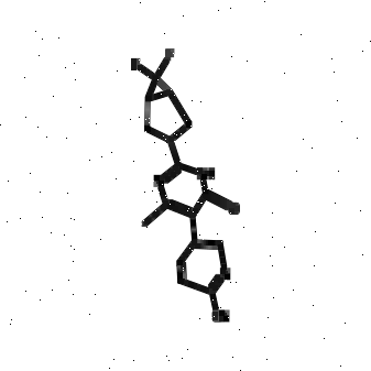 Cc1nc(C2CC3C(C2)C3(F)F)[nH]c(=O)c1-c1ccc(C#N)nc1